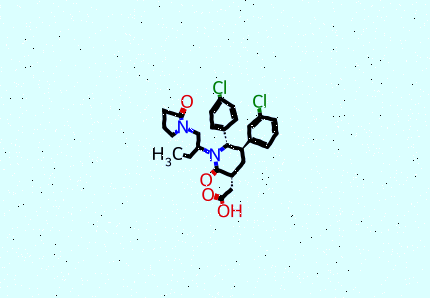 CCC(CN1CCCC1=O)N1C(=O)[C@@H](CC(=O)O)C[C@H](c2cccc(Cl)c2)[C@H]1c1ccc(Cl)cc1